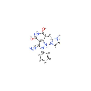 Cn1ccnc1/C=C1/C(=O)NC(=O)c2c1nn(-c1ccccc1)c2N